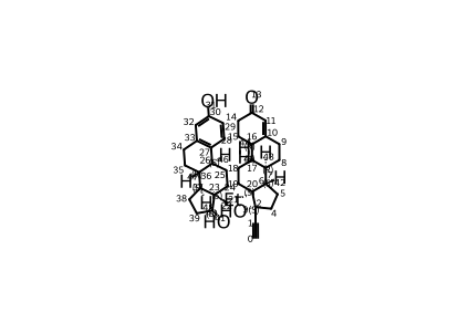 C#C[C@]1(O)CC[C@H]2[C@@H]3CCC4=CC(=O)CC[C@@H]4[C@H]3CC[C@@]21CC.C[C@]12CC[C@@H]3c4ccc(O)cc4CC[C@H]3[C@@H]1CC[C@@H]2O